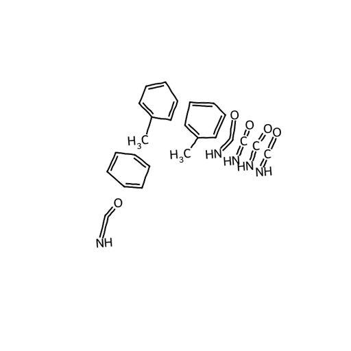 Cc1ccccc1.Cc1ccccc1.N=C=O.N=C=O.N=C=O.N=C=O.N=C=O.c1ccccc1